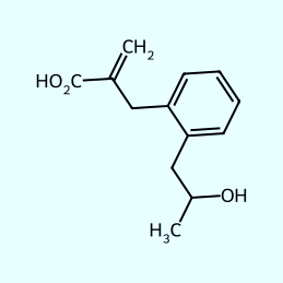 C=C(Cc1ccccc1CC(C)O)C(=O)O